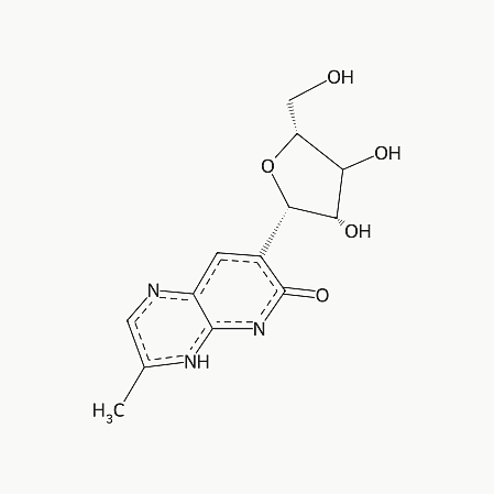 Cc1cnc2cc([C@@H]3O[C@H](CO)C(O)[C@@H]3O)c(=O)nc-2[nH]1